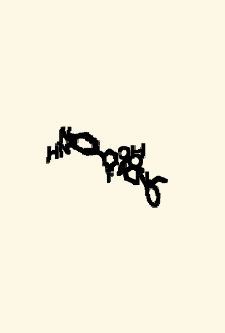 CCC(=O)N1CCC2(CC1)C[C@]2(C(=O)O)C1CCC(c2ccc3c(c2)NCN3C)C[C@@H]1F